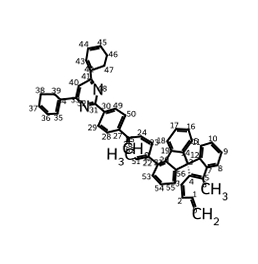 C=C/C=C\C1=C(C)c2ccccc2[C@@]12c1ccccc1-c1c(C(/C=C\C(=C)c3ccc(-c4nc(C5=CC=CCC5)cc(C5=CC=CCC5)n4)cc3)=C/C)cccc12